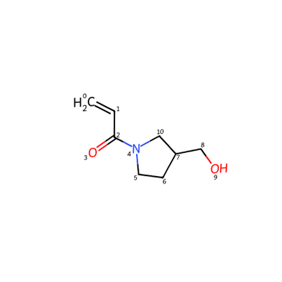 C=CC(=O)N1CCC(CO)C1